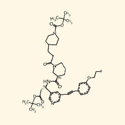 CC(C)(C)OC(=O)C[C@H](NC(=O)[C@@H]1CCCN(C(=O)CCC2CCN(C(=O)OC(C)(C)C)CC2)C1)c1cncc(C#Cc2cccc(OCCF)c2)c1